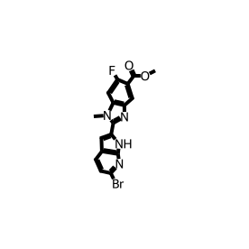 COC(=O)c1cc2nc(-c3cc4ccc(Br)nc4[nH]3)n(C)c2cc1F